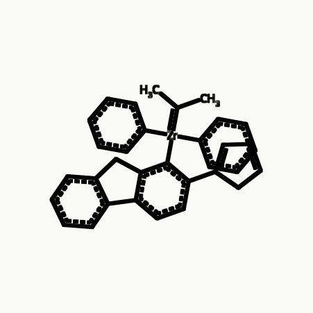 C[C](C)=[Zr]([c]1ccccc1)([c]1ccccc1)[c]1c(C2=CC=CC2)ccc2c1Cc1ccccc1-2